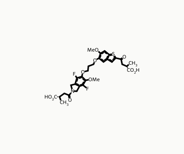 COc1cc2sc(C(=O)C[C@H](C)C(=O)O)cc2cc1OCCCOc1c(F)c2c(c(F)c1OC)CN(C(=O)C[C@H](C)C(=O)O)C2